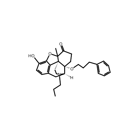 CCCN1CC[C@]23c4c5ccc(O)c4OC2(C)C(=O)CC[C@@]3(OCCCc2ccccc2)[C@H]1C5